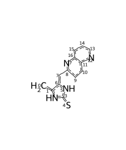 C=c1[nH]c(=S)[nH]/c1=C\c1ccc2ncccc2n1